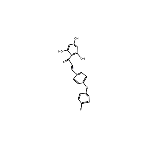 O=C(/C=C/c1ccc(Oc2ccc(F)cc2)cc1)c1c(O)cc(O)cc1O